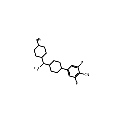 CCCC1CCC(C(C)C2CCC(c3cc(F)c(C#N)c(F)c3)CC2)CC1